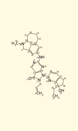 C=CCn1c(=O)c2cnc(Nc3cc4c5c(c3)CN(C)C5CCCC4)nc2n1-c1ccc2c(n1)C(O)(CC)CC2